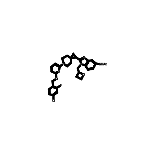 CC(=O)Nc1ccc2c(c1)nc(C1CC13CCN(c1cccc(OCc4ccc(Cl)cc4F)n1)CC3)n2CC1CCO1